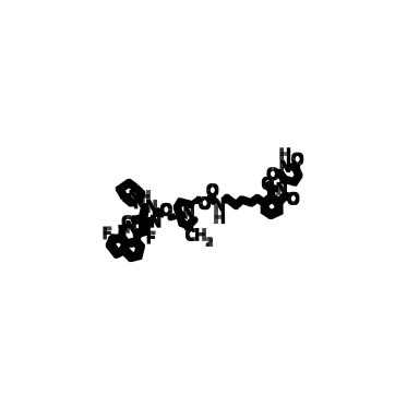 C#Cc1c(F)ccc2cccc(-c3ncc4c(N5CC6CCC(C5)N6)nc(OC[C@@]56CC[C@@H](COC(=O)NCCCCCc7cccc8c7C(=O)N(C7CCC(=O)NC7=O)C8=O)N5CC(=C)C6)nc4c3F)c12